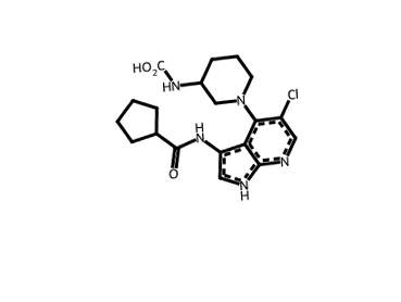 O=C(O)NC1CCCN(c2c(Cl)cnc3[nH]cc(NC(=O)C4CCCC4)c23)C1